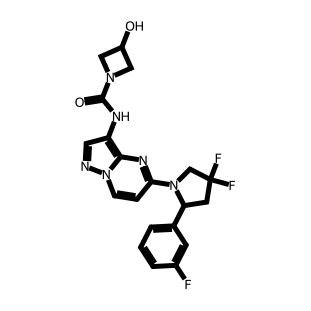 O=C(Nc1cnn2ccc(N3CC(F)(F)CC3c3cccc(F)c3)nc12)N1CC(O)C1